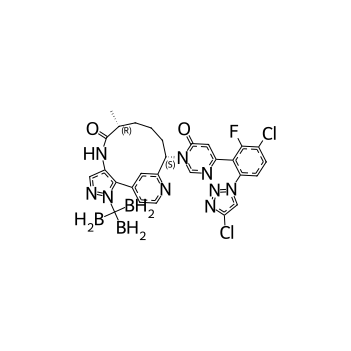 BC(B)(B)n1ncc2c1-c1ccnc(c1)[C@@H](n1cnc(-c3c(-n4cc(Cl)nn4)ccc(Cl)c3F)cc1=O)CCC[C@@H](C)C(=O)N2